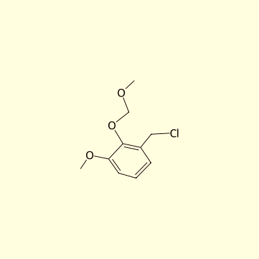 COCOc1c(CCl)cccc1OC